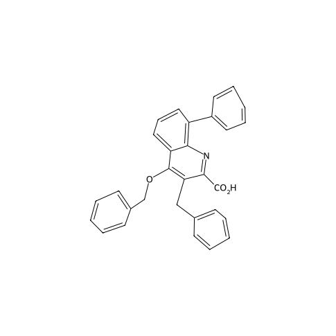 O=C(O)c1nc2c(-c3ccccc3)cccc2c(OCc2ccccc2)c1Cc1ccccc1